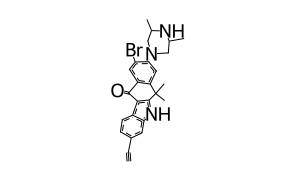 C#Cc1ccc2c3c([nH]c2c1)C(C)(C)c1cc(N2CC(C)NC(C)C2)c(Br)cc1C3=O